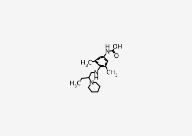 CCC(CNc1c(C)cc(NC(=O)O)cc1C)N1CCCCC1